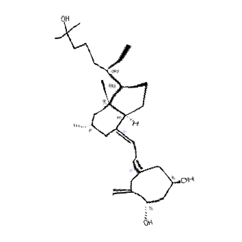 C=C1/C(=C/C=C2\C[C@H](C)C[C@]3(C)[C@@H]([C@H](C)CCCC(C)(C)O)CC[C@@H]23)C[C@@H](O)C[C@@H]1O